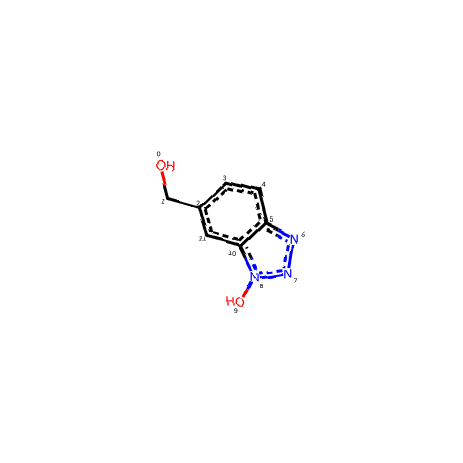 OCc1ccc2nnn(O)c2c1